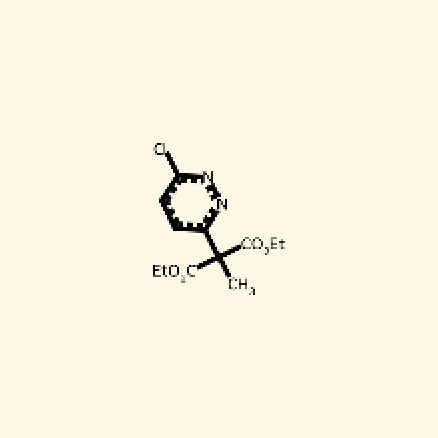 CCOC(=O)C(C)(C(=O)OCC)c1ccc(Cl)nn1